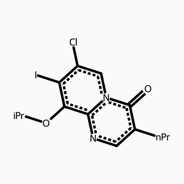 CCCc1cnc2c(OC(C)C)c(I)c(Cl)cn2c1=O